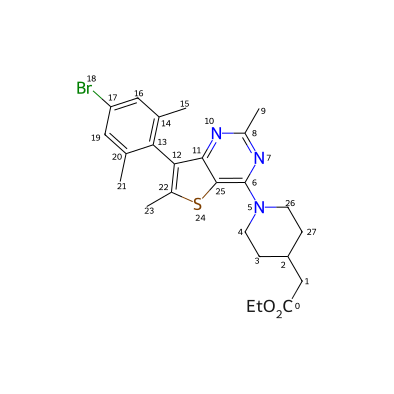 CCOC(=O)CC1CCN(c2nc(C)nc3c(-c4c(C)cc(Br)cc4C)c(C)sc23)CC1